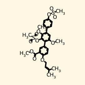 COC(=O)c1cc(-c2c(OC)cc(-c3ccc(OS(C)(=O)=O)cc3)c(OC)c2OS(C)(=O)=O)ccc1OCC=C(C)C